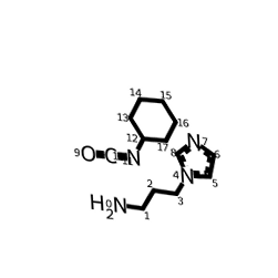 NCCCn1ccnc1.O=C=NC1CCCCC1